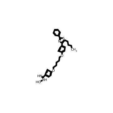 CCCCc1sc(-c2ccccc2)nc1-c1ccc(OCCCCCOc2ccc(C(=N)NO)cc2)cc1